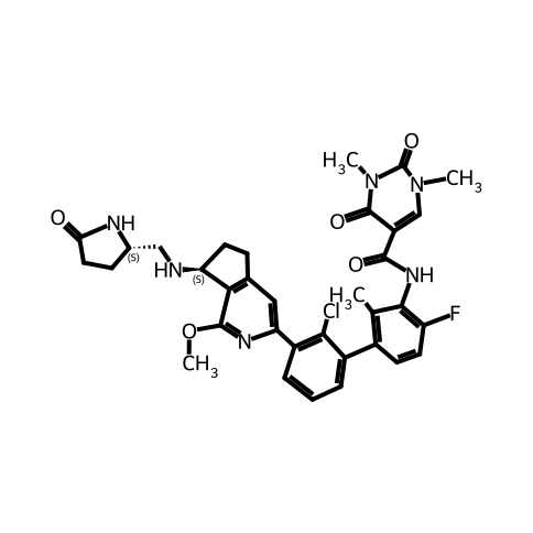 COc1nc(-c2cccc(-c3ccc(F)c(NC(=O)c4cn(C)c(=O)n(C)c4=O)c3C)c2Cl)cc2c1[C@@H](NC[C@@H]1CCC(=O)N1)CC2